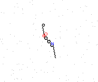 CCCCCCCCCc1ccc(-c2ccc(-c3ccc(OC(=O)CCCCCC4CCCC4)cc3)cc2)nc1